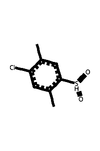 Cc1cc([SH](=O)=O)c(C)cc1Cl